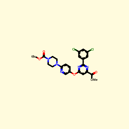 COC(=O)c1cc(Oc2ccc(N3CCN(C(=O)OC(C)(C)C)CC3)nc2)nc(-c2cc(Cl)cc(Cl)c2)n1